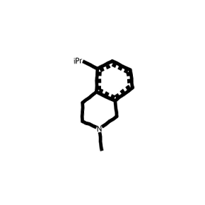 CC(C)c1cccc2c1CCN(C)C2